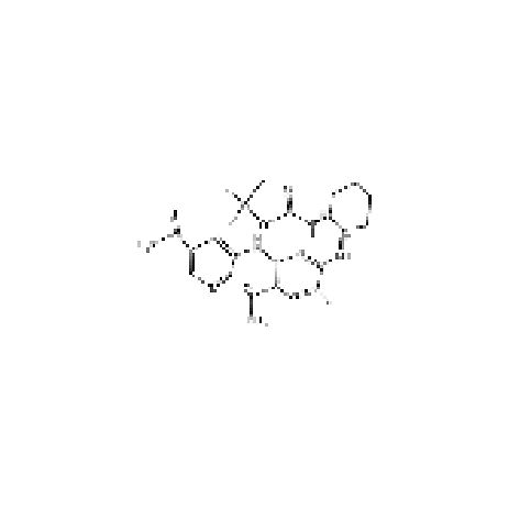 CC(C)(C)OC(=O)N[C@H]1CCCC[C@H]1Nc1nc(Nc2cncc(C(N)=O)c2)c(C(N)=O)cc1F